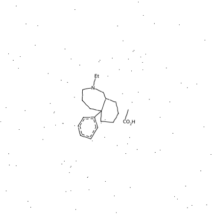 CC(=O)O.CCN1CCCC2(c3ccccc3)CCCCC2C1